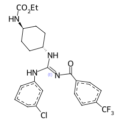 CCOC(=O)N[C@H]1CC[C@H](N/C(=N\C(=O)c2ccc(C(F)(F)F)cc2)Nc2cccc(Cl)c2)CC1